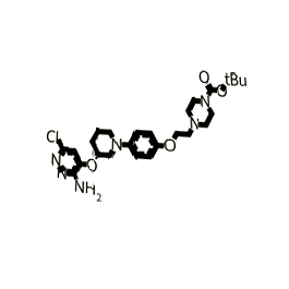 CC(C)(C)OC(=O)N1CCN(CCOc2ccc(N3CCC[C@@H](Oc4cc(Cl)nnc4N)C3)cc2)CC1